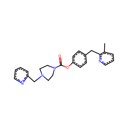 Cc1cccnc1Cc1ccc(OC(=O)N2CCN(Cc3ccccn3)CC2)cc1